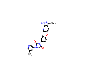 COc1n[nH]c2ncc(Oc3ccc(N4C(=O)CN(c5cncc(C(F)(F)F)c5)C4=O)cc3)cc12